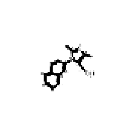 Cc1nc(C)n(-c2ccc3ccccc3c2)c1CO